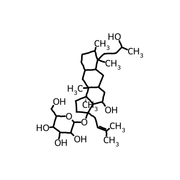 CC(C)=CCC1(OC2OC(CO)C(O)C(O)C2O)CC[C@]2(C)C1C(O)CC1CC3C(CCC(C)C3(C)CCC(C)O)CC12C